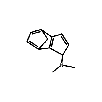 CN(C)C1C=CC2=C1C1=CC=C2C1